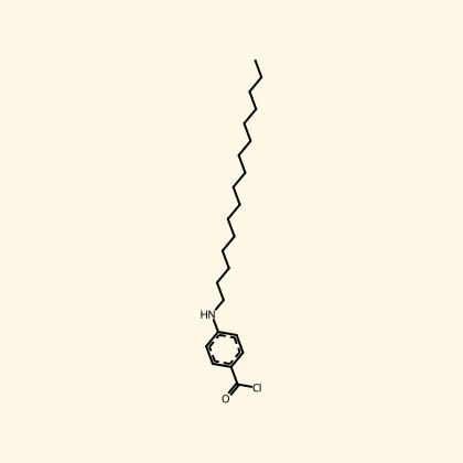 CCCCCCCCCCCCCCCCNc1ccc(C(=O)Cl)cc1